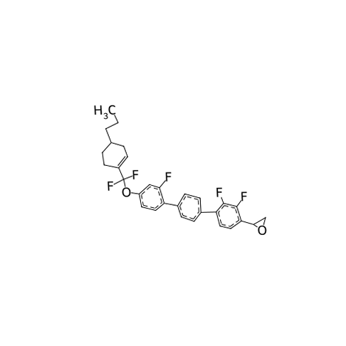 CCCC1CC=C(C(F)(F)Oc2ccc(-c3ccc(-c4ccc(C5CO5)c(F)c4F)cc3)c(F)c2)CC1